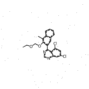 CCOCOc1c(-c2ncnc3cc(Cl)cc(Cl)c23)cc2ccccc2c1C